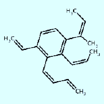 C=C/C=C\c1c(C=C)ccc(/C(C)=C\C)c1/C=C\C